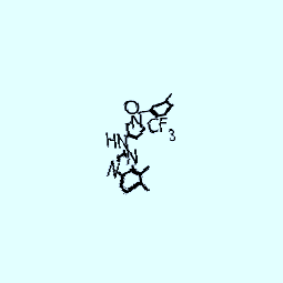 Cc1ccc(C(F)(F)F)c(C(=O)N2CCC(Nc3cnc4ccc(C)c(C)c4n3)C2)c1